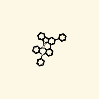 c1ccc(-c2cc3c4c(c2)c2ccccc2n4B2c4ccccc4N(c4ccccc4)c4cccc-3c42)cc1